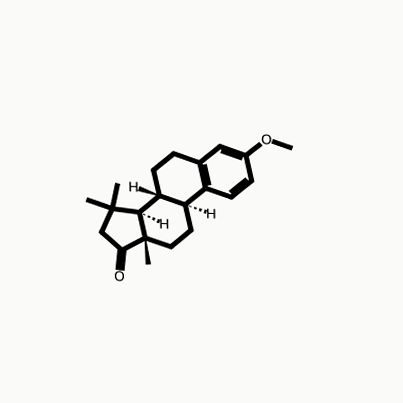 COc1ccc2c(c1)CC[C@@H]1[C@@H]2CC[C@]2(C)C(=O)CC(C)(C)[C@@H]12